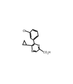 O=C(O)c1cnc(C2CC2)c(-c2cccc(Cl)c2)n1